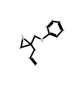 C=CCC1(COc2ccccc2)CO1